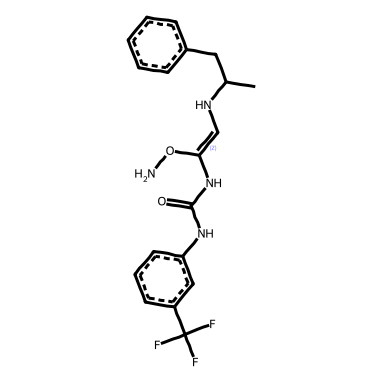 CC(Cc1ccccc1)N/C=C(/NC(=O)Nc1cccc(C(F)(F)F)c1)ON